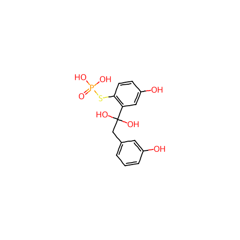 O=P(O)(O)Sc1ccc(O)cc1C(O)(O)Cc1cccc(O)c1